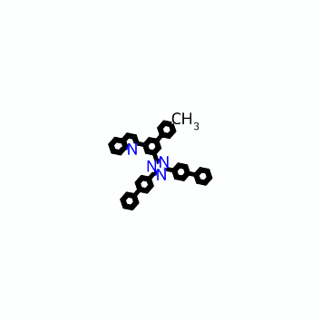 Cc1ccc(-c2cc(-c3ccc4ccccc4n3)cc(-c3nc(-c4ccc(-c5ccccc5)cc4)nc(-c4ccc(-c5ccccc5)cc4)n3)c2)cc1